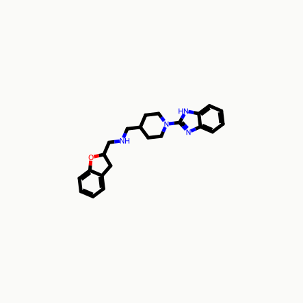 c1ccc2c(c1)CC(CNCC1CCN(c3nc4ccccc4[nH]3)CC1)O2